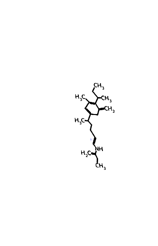 C=C(CC)N/C=C/CCC(C)C1=CC(C)=C(C(C)CC)C(=C)C1